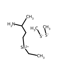 C[CH2][Sn+2][CH2]CC(C)N.C[S-].C[S-]